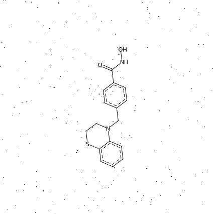 O=C(NO)c1ccc(CN2CCSc3ccccc32)cc1